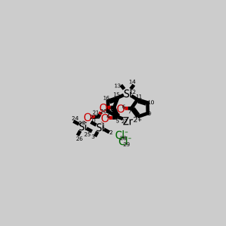 C[Si](C)(C)OCOC1=[C]2CC=C1[Si](C)(C)C1=CC[C](=C1OCO[Si](C)(C)C)[Zr+2]2.[Cl-].[Cl-]